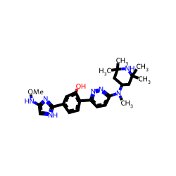 CONc1c[nH]c(-c2ccc(-c3ccc(N(C)C4CC(C)(C)NC(C)(C)C4)nn3)c(O)c2)n1